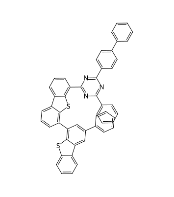 c1ccc(-c2ccc(-c3nc(-c4ccccc4)nc(-c4cccc5c4sc4c(-c6cc(-c7ccccc7)cc7c6sc6ccccc67)cccc45)n3)cc2)cc1